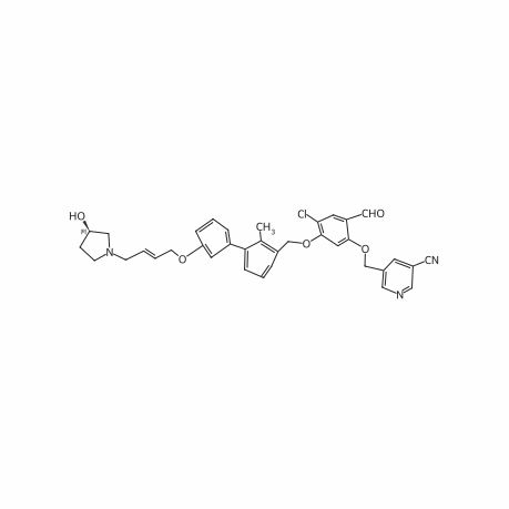 Cc1c(COc2cc(OCc3cncc(C#N)c3)c(C=O)cc2Cl)cccc1-c1cccc(OCC=CCN2CC[C@@H](O)C2)c1